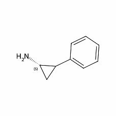 N[C@H]1CC1c1ccccc1